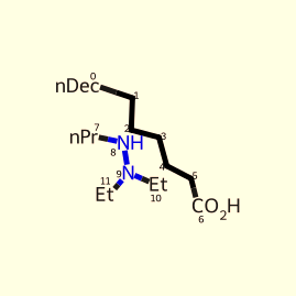 CCCCCCCCCCCCCCCC(=O)O.CCCNN(CC)CC